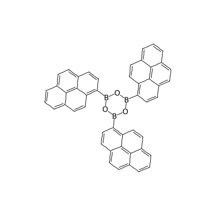 c1cc2ccc3ccc(B4OB(c5ccc6ccc7cccc8ccc5c6c78)OB(c5ccc6ccc7cccc8ccc5c6c78)O4)c4ccc(c1)c2c34